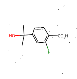 CC(C)(O)c1ccc(C(=O)O)c(F)c1